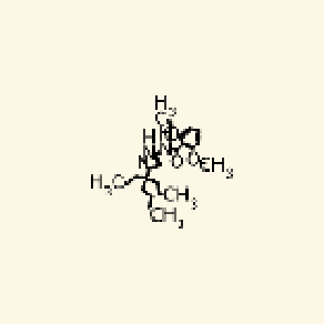 CCCCC(CCC)(CCC)c1cc(NC(=O)c2c(OC)cccc2OCC)[nH]n1